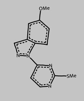 COc1ccc2c(cnn2-c2ccnc(SC)n2)c1